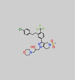 CS(=O)(=O)N1CCc2c(c(-c3ccc(C(F)(F)F)c(CCc4ccc(Cl)cc4)c3)nn2CC(O)CN2CCOCC2)C1